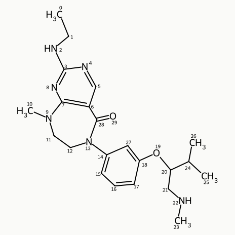 CCNc1ncc2c(n1)N(C)CCN(c1cccc(OC(CNC)C(C)C)c1)C2=O